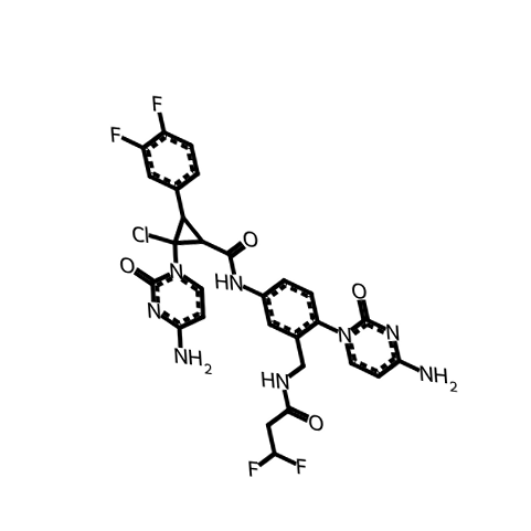 Nc1ccn(-c2ccc(NC(=O)C3C(c4ccc(F)c(F)c4)C3(Cl)n3ccc(N)nc3=O)cc2CNC(=O)CC(F)F)c(=O)n1